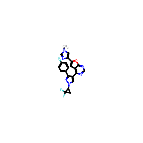 Cn1cnc(-c2cc3c(-c4cn(C5CC5(F)F)nc4-c4ccc(F)cc4)ncnc3o2)c1